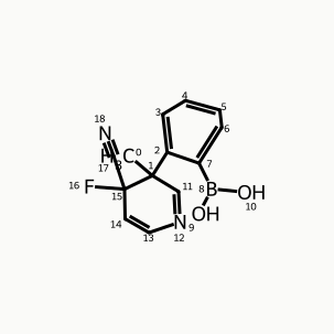 CC1(c2ccccc2B(O)O)C=NC=CC1(F)C#N